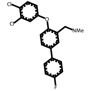 CNCc1cc(-c2ccc(F)cc2)ccc1Oc1ccc(Cl)c(Cl)c1